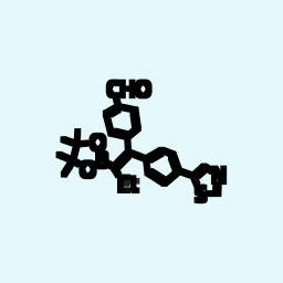 CCC(B1OC(C)(C)C(C)(C)O1)=C(c1ccc(C=O)cc1)c1ccc(-c2cncs2)cc1